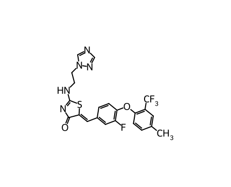 Cc1ccc(Oc2ccc(/C=C3\SC(NCCn4cncn4)=NC3=O)cc2F)c(C(F)(F)F)c1